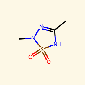 CC1=NN(C)S(=O)(=O)N1